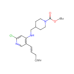 COC/C=C/c1cnc(Cl)cc1NCC1CCN(C(=O)OC(C)(C)C)CC1